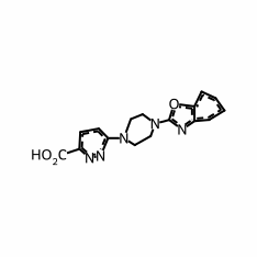 O=C(O)c1ccc(N2CCN(c3nc4ccccc4o3)CC2)nn1